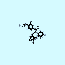 Cc1cc(C(=O)N2Cc3cn[nH]c3Nc3ccccc32)ccc1CN